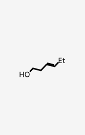 CC/C=C/CCO